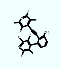 Nc1cccc(-c2c(F)c(F)nc(F)c2F)c1C#Cc1c(F)c(F)nc(F)c1F